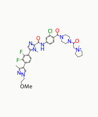 COCCn1cc(-c2ccc(-c3cnc(C(=O)Nc4ccc(C(=O)N5CCN(C(=O)C[N+]6(C)CCCC6)CC5)c(Cl)c4)n3C)c(F)c2F)c(C)n1